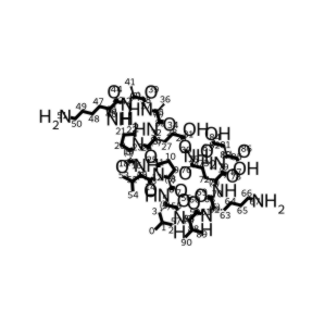 CC(C)C[C@H](NC(=O)[C@@H]1CCCN1C(=O)[C@@H](NC(=O)[C@@H]1CCCN1C(=O)[C@H](CCC(=O)O)NC(=O)[C@H](C)NC(=O)[C@H](C)NC(=O)[C@@H](N)CCCCN)C(C)C)C(=O)N[C@H](C(=O)N[C@@H](CCCCN)C(=O)N[C@@H](CCC(N)=O)C(=O)N[C@@H](CC(=O)O)C(=O)O)C(C)C